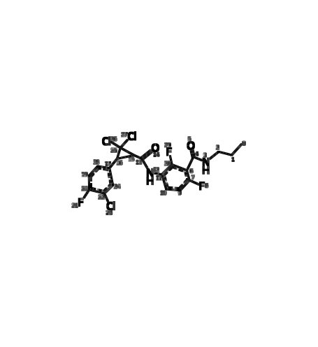 CCCNC(=O)c1c(F)ccc(NC(=O)C2C(c3ccc(F)c(Cl)c3)C2(Cl)Cl)c1F